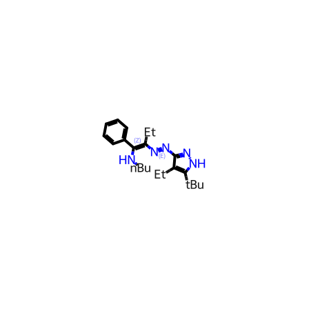 CCCCN/C(=C(CC)\N=N\c1n[nH]c(C(C)(C)C)c1CC)c1ccccc1